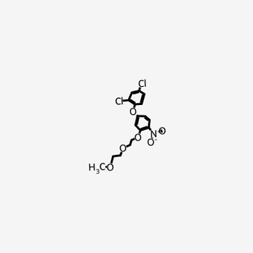 COCCOCCOc1cc(Oc2ccc(Cl)cc2Cl)ccc1[N+](=O)[O-]